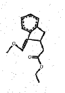 CCOC(=O)CC1Cc2ccccc2C1=COC